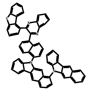 c1ccc2cc3c(cc2c1)c1ccccc1n3-c1cccc2cc3c4ccccc4n(-c4cccc5c(-c6nc7ccccc7nc6-c6cccc7sc8ccccc8c67)cccc45)c3cc12